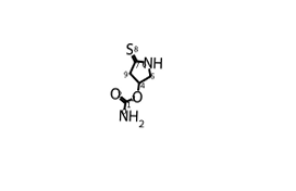 NC(=O)OC1CNC(=S)C1